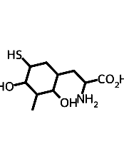 CC1C(O)C(S)CC(CC(N)C(=O)O)C1O